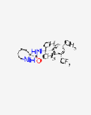 Cc1cc(C(F)(F)F)cc(C(C)(C)NC(=O)[C@H]2CCCCN2)c1